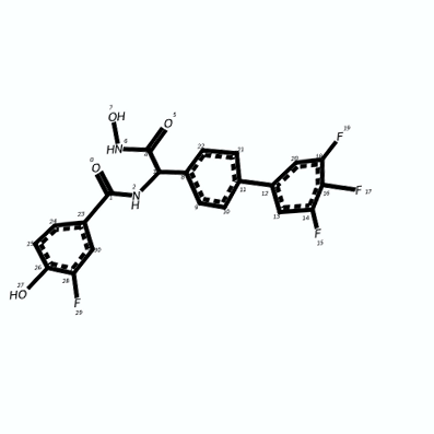 O=C(NC(C(=O)NO)c1ccc(-c2cc(F)c(F)c(F)c2)cc1)c1ccc(O)c(F)c1